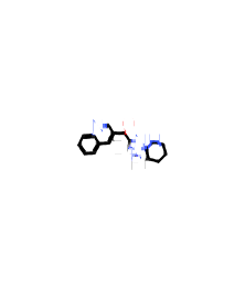 CCN(CC)C1(NCC(=O)c2cnc3ccccc3c2)CCCCC1